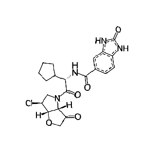 O=C(N[C@H](C(=O)N1C[C@H](Cl)[C@H]2OCC(=O)[C@H]21)C1CCCC1)c1ccc2[nH]c(=O)[nH]c2c1